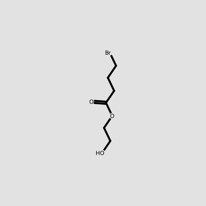 O=C(CCCBr)OCCO